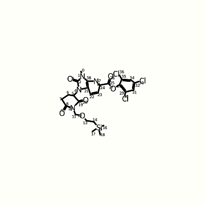 Cn1c(=O)n(C2CCC(=O)N(COCC[Si](C)(C)C)C2=O)c2ccc(C(=O)Oc3c(Cl)cc(Cl)cc3Cl)nc21